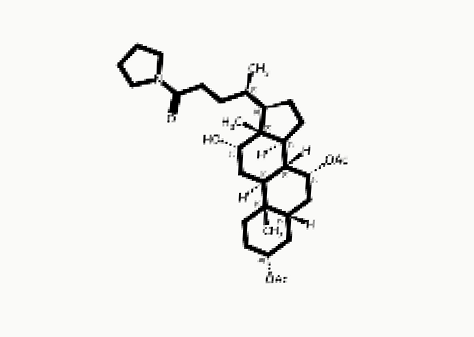 CC(=O)O[C@@H]1CC[C@@]2(C)[C@@H](C1)C[C@@H](OC(C)=O)[C@@H]1[C@@H]2C[C@H](O)[C@]2(C)[C@@H]([C@H](C)CCC(=O)N3CCCC3)CC[C@@H]12